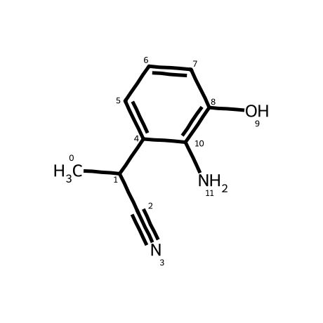 CC(C#N)c1cccc(O)c1N